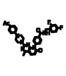 CC(=O)c1ccc(N2CCN(c3nc(C)c4ccc(=O)n(-c5ccc(C(=O)NCc6ccc(F)cc6F)cc5)c4n3)CC2)cc1